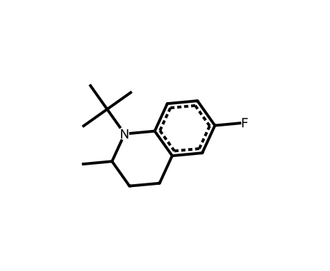 CC1CCc2cc(F)ccc2N1C(C)(C)C